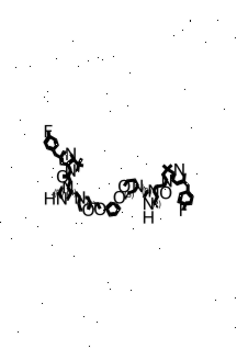 C[C@@H]1CN(CC(=O)N2CC(C)(C)c3ncc(Cc4ccc(F)cc4)cc32)[C@@H](CN2CCO[C@H](COc3cccc(OC[C@@H]4CN(C[C@H]5CN[C@H](C)CN5CC(=O)N5CC(C)(C)c6ncc(Cc7ccc(F)cc7)cc65)CCO4)c3)C2)CN1